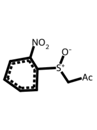 CC(=O)C[S+]([O-])c1ccccc1[N+](=O)[O-]